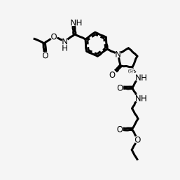 CCOC(=O)CCNC(=O)N[C@H]1CCN(c2ccc(C(=N)NOC(C)=O)cc2)C1=O